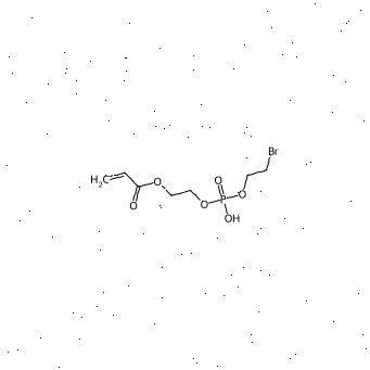 C=CC(=O)OCCOP(=O)(O)OCCBr